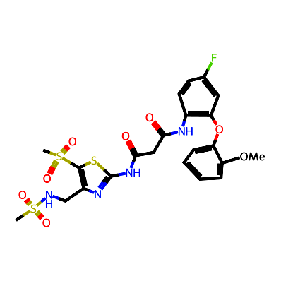 COc1ccccc1Oc1cc(F)ccc1NC(=O)CC(=O)Nc1nc(CNS(C)(=O)=O)c(S(C)(=O)=O)s1